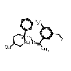 C[C@@H](OC[C@@]1(c2ccccc2)CCC(N=O)CN1)c1cc(CF)cc(C(F)(F)F)c1